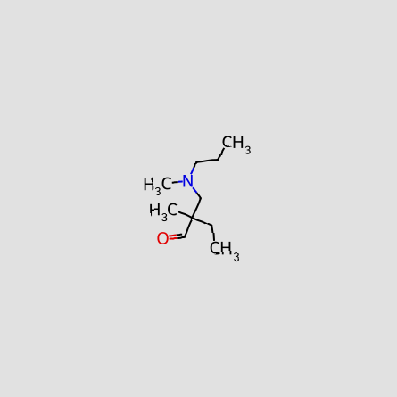 CCCN(C)CC(C)(C=O)CC